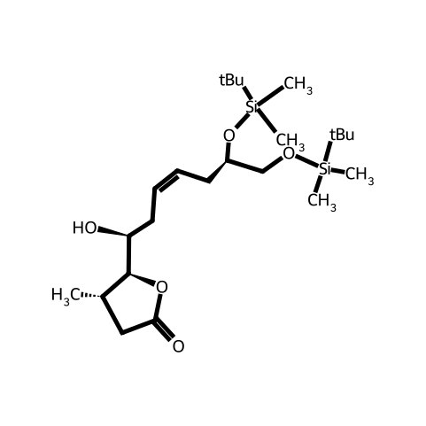 C[C@H]1CC(=O)O[C@@H]1[C@@H](O)C/C=C\C[C@H](CO[Si](C)(C)C(C)(C)C)O[Si](C)(C)C(C)(C)C